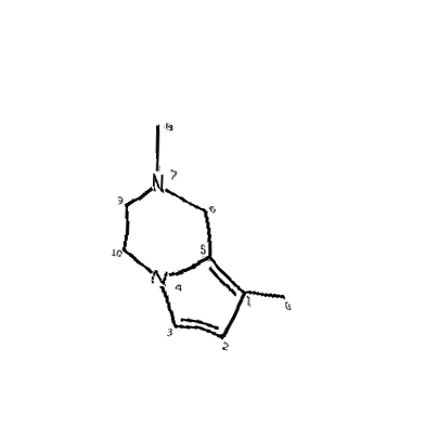 Cc1ccn2c1CN(C)CC2